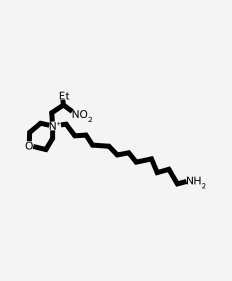 CCC(C[N+]1(CCCCCCCCCCCCN)CCOCC1)[N+](=O)[O-]